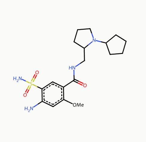 COc1cc(N)c(S(N)(=O)=O)cc1C(=O)NCC1CCCN1C1CCCC1